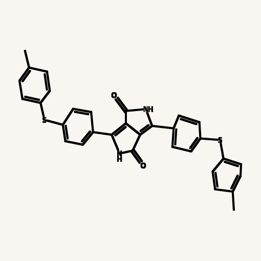 Cc1ccc(Sc2ccc(C3=C4C(=O)NC(c5ccc(Sc6ccc(C)cc6)cc5)=C4C(=O)N3)cc2)cc1